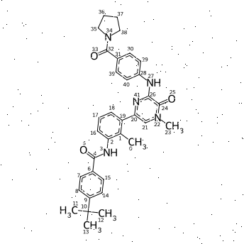 Cc1c(NC(=O)c2ccc(C(C)(C)C)cc2)cccc1-c1cn(C)c(=O)c(Nc2ccc(C(=O)N3CCCC3)cc2)n1